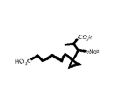 CCCCCCCCCC(C(C)C(=O)O)C1(CCCCCC(=O)O)CC1